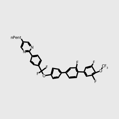 CCCCCc1cnc(-c2ccc(C(F)(F)Oc3ccc(-c4ccc(-c5cc(F)c(OC(F)(F)F)c(F)c5)c(F)c4)cc3)cc2)nc1